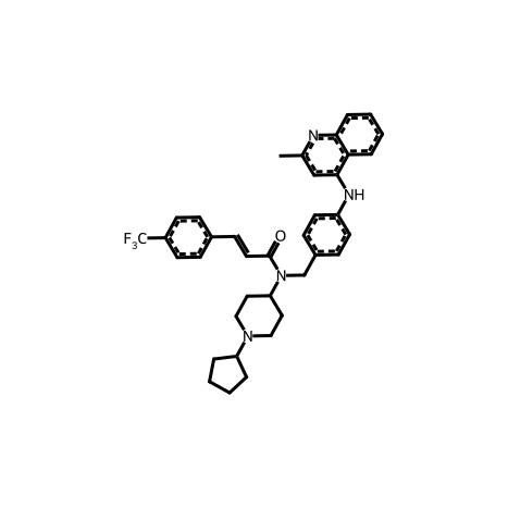 Cc1cc(Nc2ccc(CN(C(=O)/C=C/c3ccc(C(F)(F)F)cc3)C3CCN(C4CCCC4)CC3)cc2)c2ccccc2n1